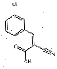 N#CC(=Cc1cccc(Cl)c1)C(=O)O